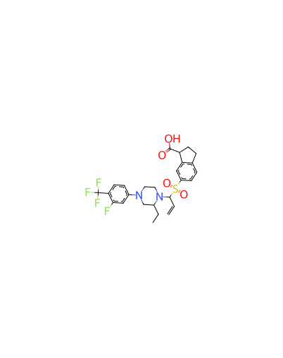 C=CC(N1CCN(c2ccc(C(F)(F)F)c(F)c2)CC1CC)S(=O)(=O)c1ccc2c(c1)C(C(=O)O)CC2